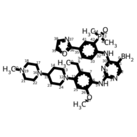 Bc1cnc(Nc2cc(CC)c(N3CCC(N4CCN(C)CC4)CC3)cc2OC)nc1Nc1ccc(-c2ncco2)cc1P(C)(C)=O